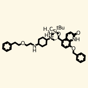 CC(C)(C)[Si](C)(C)O[C@@H](CNC1CCC(NCCOCCc2ccccc2)CC1)c1ccc(OCc2ccccc2)c2[nH]c(=O)ccc12